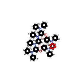 c1ccc(N(c2ccccc2)c2ccc3c(c2)Oc2cc(N(c4ccccc4)c4ccccc4)cc4c2B3c2cc3c(cc2N4c2ccccc2)N(c2ccccc2)c2cc(N(c4ccccc4)c4ccccc4)cc4c2B3c2ccc(N(c3ccccc3)c3ccccc3)cc2O4)cc1